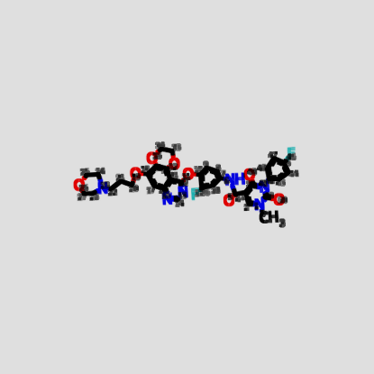 Cn1cc(C(=O)Nc2ccc(Oc3ncnc4cc(OCCCN5CCOCC5)c5c(c34)OCCO5)c(F)c2)c(=O)n(-c2ccc(F)cc2)c1=O